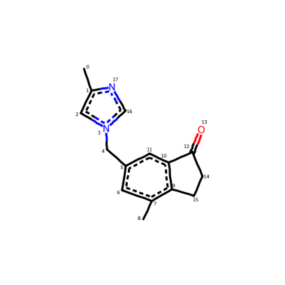 Cc1cn(Cc2cc(C)c3c(c2)C(=O)CC3)cn1